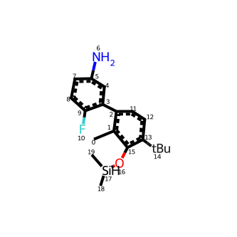 Cc1c(-c2cc(N)ccc2F)ccc(C(C)(C)C)c1O[SiH](C)C